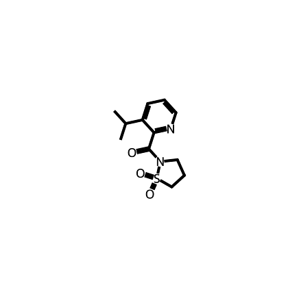 CC(C)c1cccnc1C(=O)N1CCCS1(=O)=O